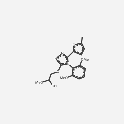 COc1cccc(OC)c1-n1c(OCC(O)OC)nnc1-c1ccc(C)o1